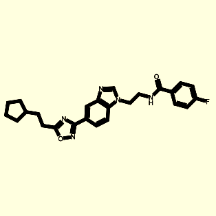 O=C(NCCn1cnc2cc(-c3noc(CCC4CCCC4)n3)ccc21)c1ccc(F)cc1